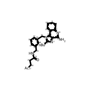 CCCCc1nc2c(N)nc3ccccc3c2n1Cc1cccc(CNC(=O)CCC(C)=O)c1